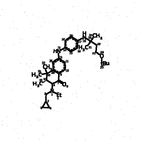 CCN(CC1CC1)C1C(=O)c2ccc(Nc3ccc(NC(C)(C)CCOC(C)(C)C)cc3)cc2C(C)(C)[C@H]1C